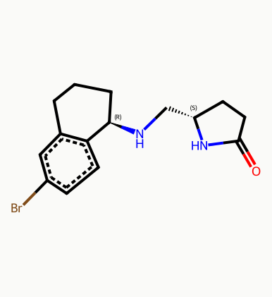 O=C1CC[C@@H](CN[C@@H]2CCCc3cc(Br)ccc32)N1